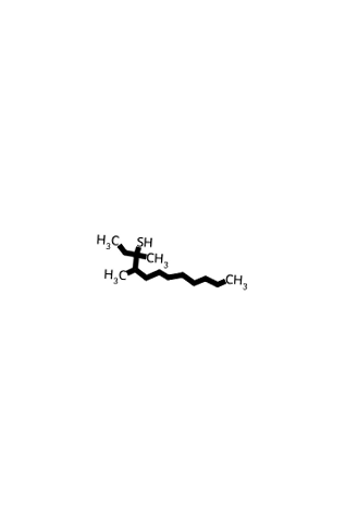 CCCCCCCCC(C)C(C)(S)CC